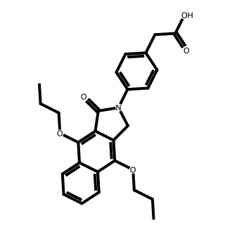 CCCOc1c2c(c(OCCC)c3ccccc13)C(=O)N(c1ccc(CC(=O)O)cc1)C2